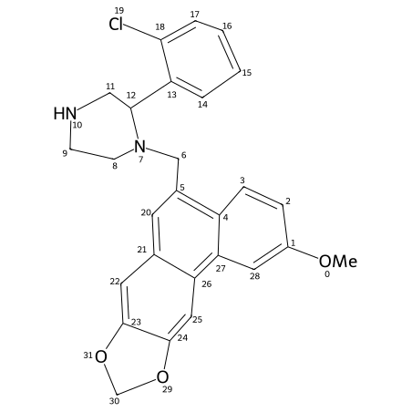 COc1ccc2c(CN3CCNCC3c3ccccc3Cl)cc3cc4c(cc3c2c1)OCO4